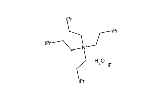 CC(C)CC[N+](CCC(C)C)(CCC(C)C)CCC(C)C.O.[F-]